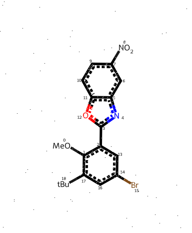 COc1c(-c2nc3cc([N+](=O)[O-])ccc3o2)cc(Br)cc1C(C)(C)C